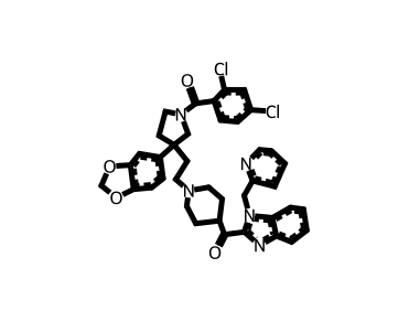 O=C(c1nc2ccccc2n1Cc1ccccn1)C1CCN(CCC2(c3ccc4c(c3)OCO4)CCN(C(=O)c3ccc(Cl)cc3Cl)C2)CC1